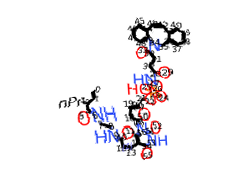 C=CC(CCC)C(=O)NCCNC(=O)/C=C\c1cn([C@H]2CC[C@@H](COP(=O)(O)ONC(=O)CCC(=O)N3Cc4ccccc4C#Cc4ccccc43)O2)c(=O)[nH]c1=O